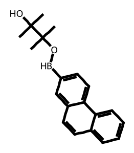 CC(C)(O)C(C)(C)OBc1ccc2c(ccc3ccccc32)c1